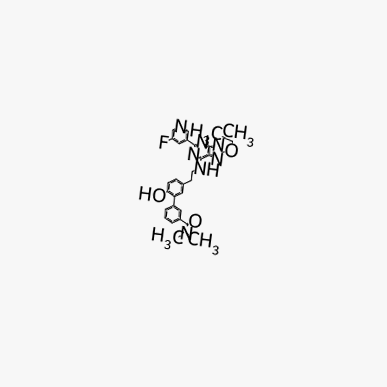 CN(C)C(=O)c1cccc(-c2cc(CCNc3nc(-c4cncc(F)c4)nc4c3nc3n4C(C)(C)CO3)ccc2O)c1